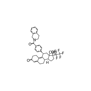 CC12C[C@H](c3ccc(C(=O)N4CCc5ccccc5C4)cc3)C3=C4CCC(=O)C=C4CCC3[C@@H]1CC[C@@]2(O)C(F)(F)C(F)(F)F